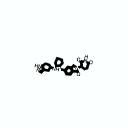 O=C1CCC(N2Cc3cc(C[C@H]4CCCC[C@@H]4NC4CCc5[nH]ncc5C4)ccc3C2=O)C(=O)N1